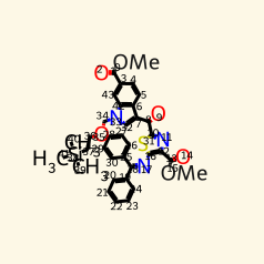 COC(=O)c1ccc2c(C(=O)c3nc(C(=O)OC)c(N=C(c4ccccc4)c4ccccc4)s3)cn(COCC[Si](C)(C)C)c2c1